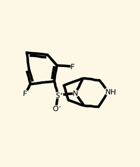 [O-][S+](c1c(F)cccc1F)N1C2CCC1CNC2